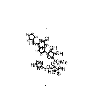 COC[C@](COCc1nn[nH]n1)(OC[C@H]1O[C@@H](c2ccc3c(NC4CCCC4)nc(Cl)nn23)[C@H](O)[C@@H]1O)P(=O)(O)O